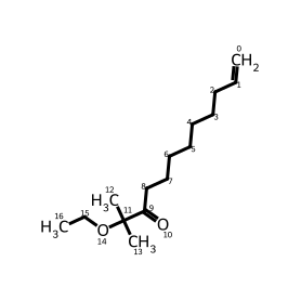 C=CCCCCCCCC(=O)C(C)(C)OCC